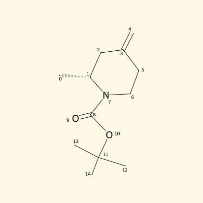 [CH2][C@@H]1CC(=C)CCN1C(=O)OC(C)(C)C